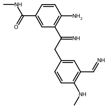 CNC(=O)c1ccc(N)c(C(=N)Cc2ccc(NC)c(C=N)c2)c1